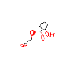 O=C(OCCCCO)c1ccccc1O